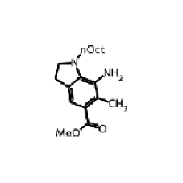 CCCCCCCCN1CCc2cc(C(=O)OC)c(C)c(N)c21